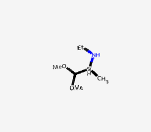 CCN[SiH](C)C(OC)OC